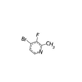 Cc1nccc(Br)c1F